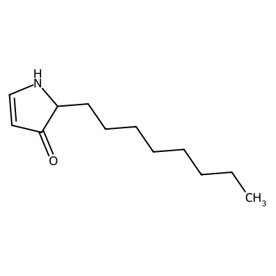 CCCCCCCCC1NC=CC1=O